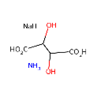 N.O=C(O)C(O)C(O)C(=O)O.[NaH]